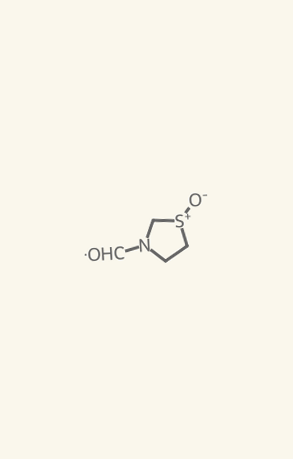 O=[C]N1CC[S+]([O-])C1